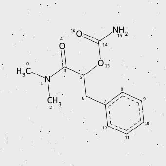 CN(C)C(=O)C(Cc1ccccc1)OC(N)=O